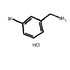 Cl.NCc1cccc(Br)c1